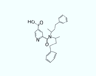 CC(CCc1ccccc1)N(C(=O)c1cc(C(=O)O)ccn1)C(C)CCc1ccccc1